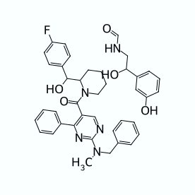 CN(Cc1ccccc1)c1ncc(C(=O)N2CCCCC2C(O)c2ccc(F)cc2)c(-c2ccccc2)n1.O=CNCC(O)c1cccc(O)c1